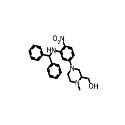 CN1CCN(c2ccc([N+](=O)[O-])c(NC(c3ccccc3)c3ccccc3)c2)CC1CO